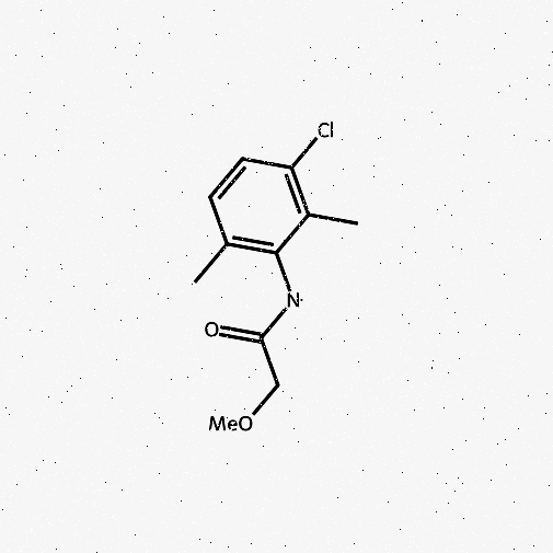 COCC(=O)[N]c1c(C)ccc(Cl)c1C